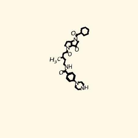 CC(CCNC(=O)c1ccc(N2CCNCC2)cc1)CC(=O)N1CCC2C1C(=O)CN2C(=O)C1CCCCC1